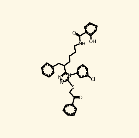 O=C(CSc1nnc(C(CCCCNC(=O)c2ccccc2O)Cc2ccccc2)n1-c1cccc(Cl)c1)c1ccccc1